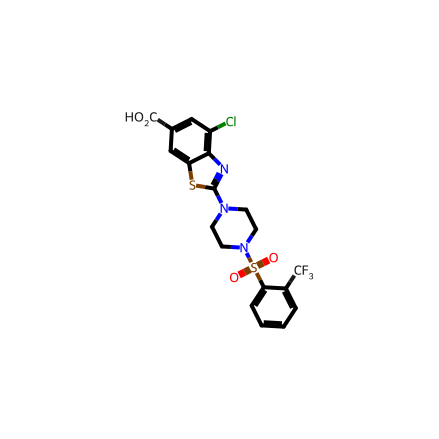 O=C(O)c1cc(Cl)c2nc(N3CCN(S(=O)(=O)c4ccccc4C(F)(F)F)CC3)sc2c1